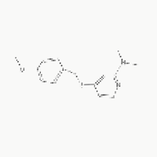 COc1ccc(CSc2ccnc(N(C)C)c2)cc1